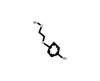 CC(C)(C)OCCOc1ccc(C(C)(C)C)cc1